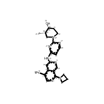 CC(C)c1cnc(N2CCC2)c2cnc(Nc3ccnc(N4CC[C@@H](O)[C@@H](F)C4)n3)cc12